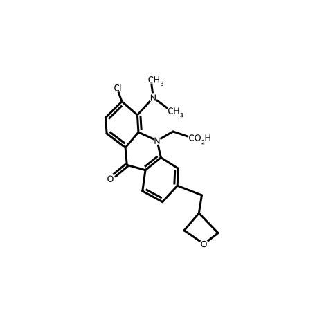 CN(C)c1c(Cl)ccc2c(=O)c3ccc(CC4COC4)cc3n(CC(=O)O)c12